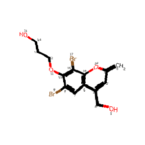 C=C1C=C(CO)c2cc(Br)c(OCCCO)c(Br)c2O1